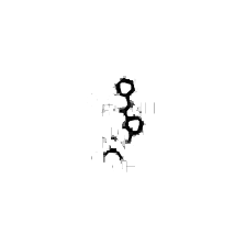 CCCCc1nc(Cl)c(CO)n1Cc1ccc2[nH]c(-c3ccccc3C(=O)O)c(Br)c2c1